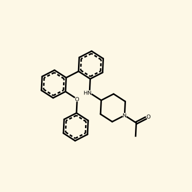 CC(=O)N1CCC(Nc2ccccc2-c2ccccc2Oc2ccccc2)CC1